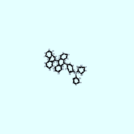 c1ccc(N(c2ccc(-c3c4ccccc4c(-c4cc5ccccc5c5ccccc45)c4ccccc34)cc2)c2ccccn2)cc1